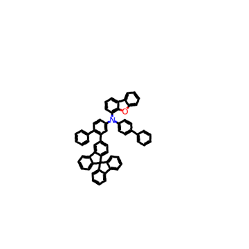 c1ccc(-c2ccc(N(c3ccc(-c4ccccc4)c(-c4ccc5c(c4)-c4ccccc4C54c5ccccc5-c5ccccc54)c3)c3cccc4c3oc3ccccc34)cc2)cc1